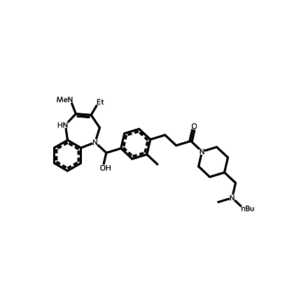 CCCCN(C)CC1CCN(C(=O)CCc2ccc(C(O)N3CC(CC)=C(NC)Nc4ccccc43)cc2C)CC1